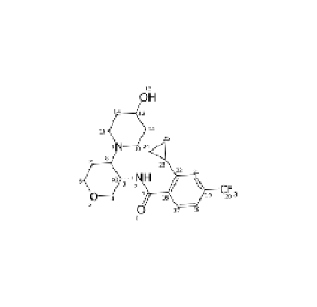 O=C(N[C@@H]1COCCC1N1CCC(O)CC1)c1ccc(C(F)(F)F)cc1C1CC1